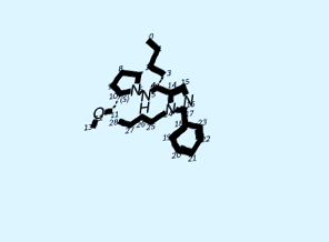 CCCC[C@@H](NN1CCC[C@H]1COC)c1cnc(-c2ccccc2)n1CCCC